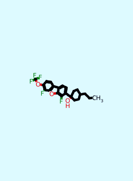 CCCC1CCC(O)(c2ccc3c(oc4c(F)c(OC(F)(F)F)ccc43)c2F)CC1